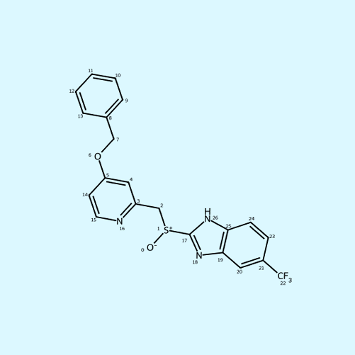 [O-][S+](Cc1cc(OCc2ccccc2)ccn1)c1nc2cc(C(F)(F)F)ccc2[nH]1